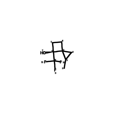 CC1CC12CC[C@@]2(O)C(F)(F)F